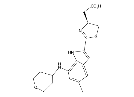 Cc1cc(NC2CCOCC2)c2[nH]c(C3=N[C@@H](CC(=O)O)CS3)cc2c1